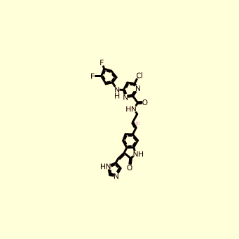 O=C1Nc2cc(/C=C/CNC(=O)c3nc(Cl)cc(Nc4ccc(F)c(F)c4)n3)ccc2C1=Cc1cnc[nH]1